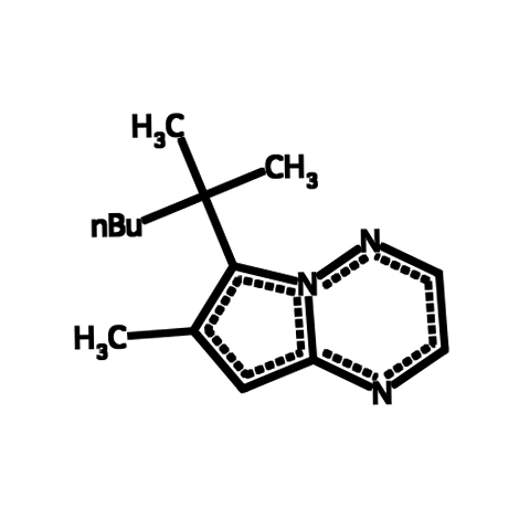 CCCCC(C)(C)c1c(C)cc2nccnn12